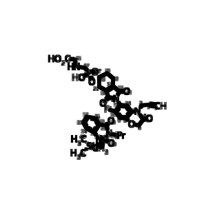 C#CCN1C(=O)COc2cc(F)c(N3C(=O)C4=C(CCCC4)C3=O)cc21.CC(C)N1C(=O)c2ccccc2NS1(=O)=O.C[S+](C)C.O=C(O)CNCP(=O)([O-])O